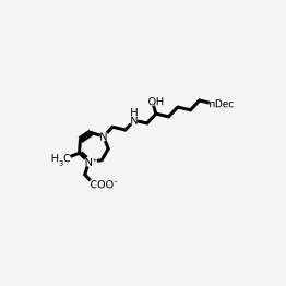 CCCCCCCCCCCCCCC(O)CNCCN1C#CC(C)=[N+](CC(=O)[O-])CC1